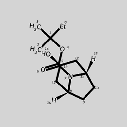 CCC(C)(C)OC(=O)N1[C@@H]2CC[C@H]1C[C@H](O)C2